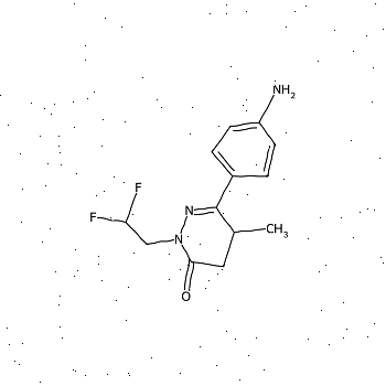 CC1CC(=O)N(CC(F)F)N=C1c1ccc(N)cc1